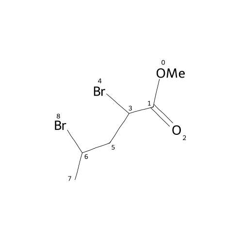 COC(=O)C(Br)CC(C)Br